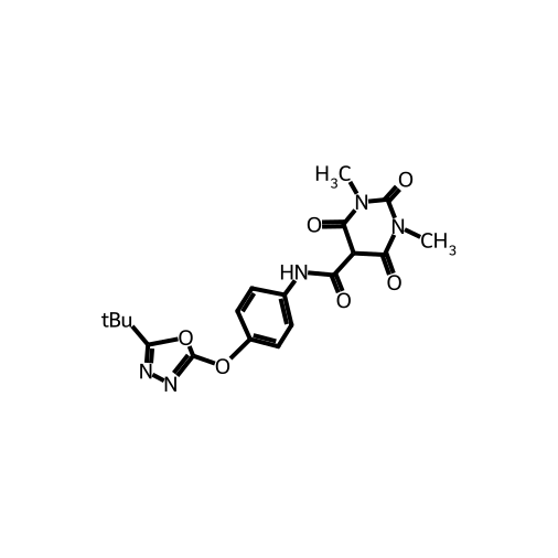 CN1C(=O)C(C(=O)Nc2ccc(Oc3nnc(C(C)(C)C)o3)cc2)C(=O)N(C)C1=O